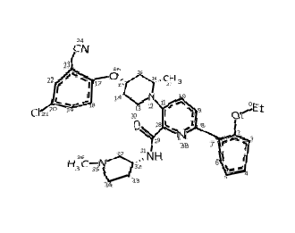 CCOc1ccccc1-c1ccc(N2CC[C@H](Oc3ccc(Cl)cc3C#N)C[C@@H]2C)c(C(=O)N[C@@H]2CCN(C)C2)n1